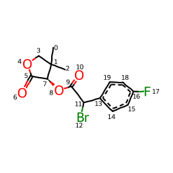 CC1(C)COC(=O)[C@@H]1OC(=O)C(Br)c1ccc(F)cc1